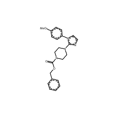 COc1ccc(-n2ccnc2N2CCN(C(=O)OCc3ccccc3)CC2)cc1